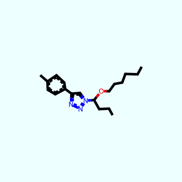 CCCCCCOC(CCC)n1cc(-c2ccc(C)cc2)nn1